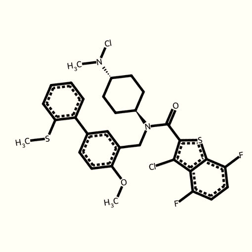 COc1ccc(-c2ccccc2SC)cc1CN(C(=O)c1sc2c(F)ccc(F)c2c1Cl)[C@H]1CC[C@H](N(C)Cl)CC1